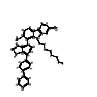 CCCCCCCCn1c2cc(Br)ccc2c2ccc(Br)c(-c3ccc(-c4ccc(-c5ccncc5)cc4)c4snnc34)c21